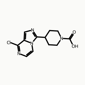 O=C(O)N1CCC(c2ncc3c(Cl)nccn23)CC1